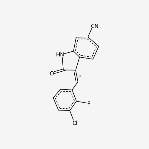 N#Cc1ccc2c(c1)NC(=O)/C2=C\c1cccc(Cl)c1F